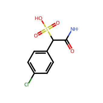 [NH]C(=O)C(c1ccc(Cl)cc1)S(=O)(=O)O